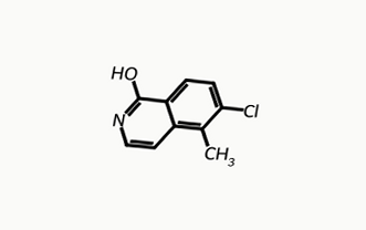 Cc1c(Cl)ccc2c(O)nccc12